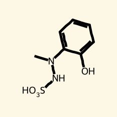 CN(NS(=O)(=O)O)c1ccccc1O